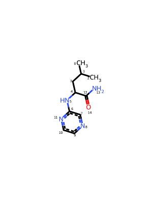 CC(C)CC(Nc1cnccn1)C(N)=O